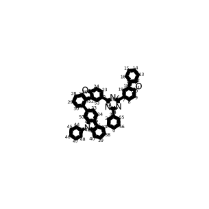 c1ccc(-c2nc(-c3ccc4oc5ccccc5c4c3)nc(-c3ccc4oc5cccc(-c6ccc7c8ccccc8n(-c8ccccc8)c7c6)c5c4c3)n2)cc1